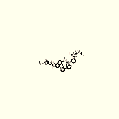 Cc1nc(CS(=O)(=O)Nc2c(F)ccc3c(Oc4ncccc4-c4ccnc(NC5CCCN(C(=O)OC(C)(C)C)C5)n4)c(C)ccc23)cs1